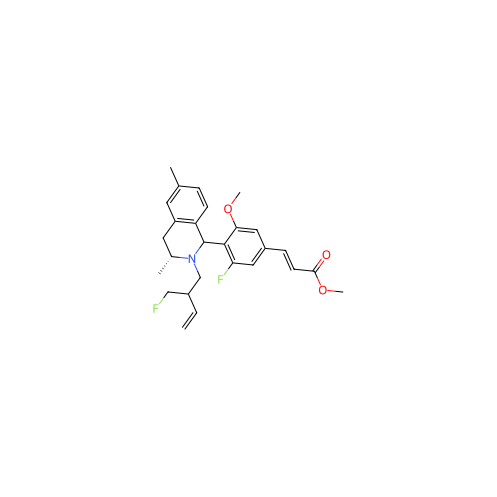 C=CC(CF)CN1C(c2c(F)cc(/C=C/C(=O)OC)cc2OC)c2ccc(C)cc2C[C@H]1C